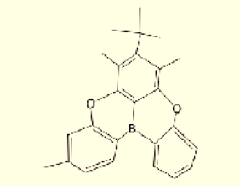 Cc1ccc2c(c1)Oc1c(C)c(C(C)(C)C)c(C)c3c1B2c1ccccc1O3